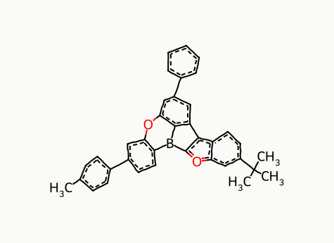 Cc1ccc(-c2ccc3c(c2)Oc2cc(-c4ccccc4)cc4c2B3c2oc3cc(C(C)(C)C)ccc3c2-4)cc1